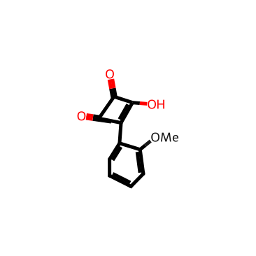 COc1ccccc1-c1c(O)c(=O)c1=O